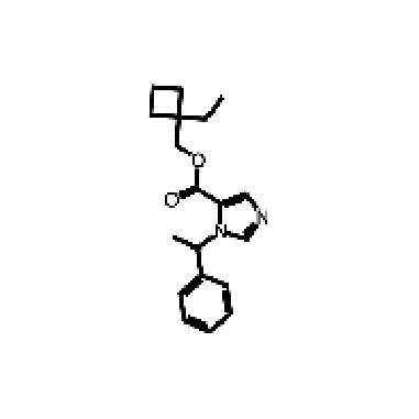 CCC1(COC(=O)c2cncn2C(C)c2ccccc2)CCC1